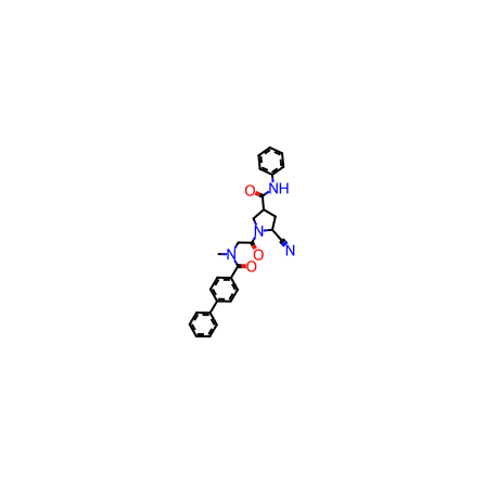 CN(CC(=O)N1CC(C(=O)Nc2ccccc2)CC1C#N)C(=O)c1ccc(-c2ccccc2)cc1